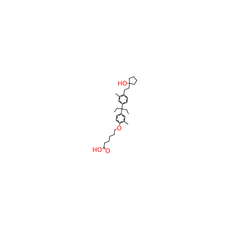 CCC(CC)(c1ccc(CCC2(O)CCCC2)c(C)c1)c1ccc(OCCCCCC(=O)O)c(C)c1